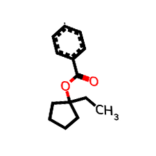 CCC1(OC(=O)c2cc[c]cc2)CCCC1